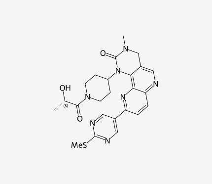 CSc1ncc(-c2ccc3ncc4c(c3n2)N(C2CCN(C(=O)[C@H](C)O)CC2)C(=O)N(C)C4)cn1